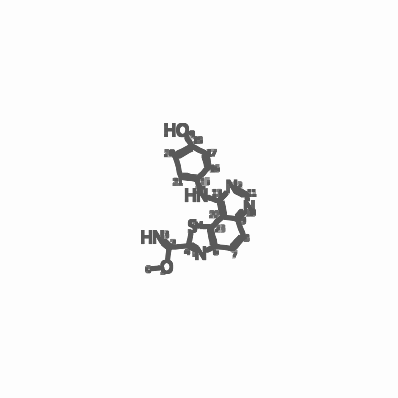 COC(=N)c1nc2ccc3ncnc(Nc4ccc(O)cc4)c3c2s1